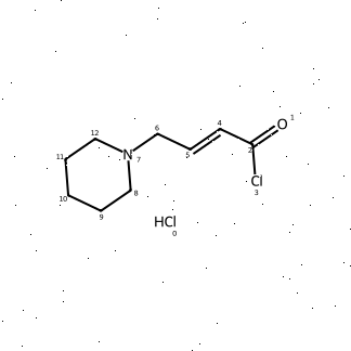 Cl.O=C(Cl)/C=C/CN1CCCCC1